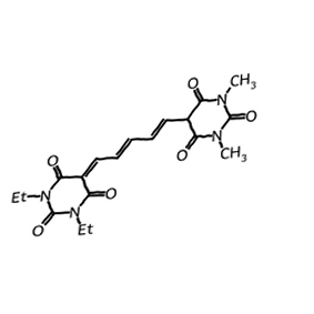 CCN1C(=O)C(=CC=CC=CC2C(=O)N(C)C(=O)N(C)C2=O)C(=O)N(CC)C1=O